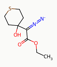 CCOC(=O)C(=[N+]=[N-])C1(O)CCSCC1